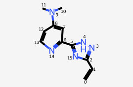 C=Cc1n[nH]c(-c2cc(N(C)C)ccn2)n1